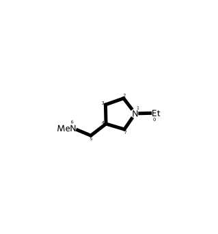 CCN1CCC(CNC)C1